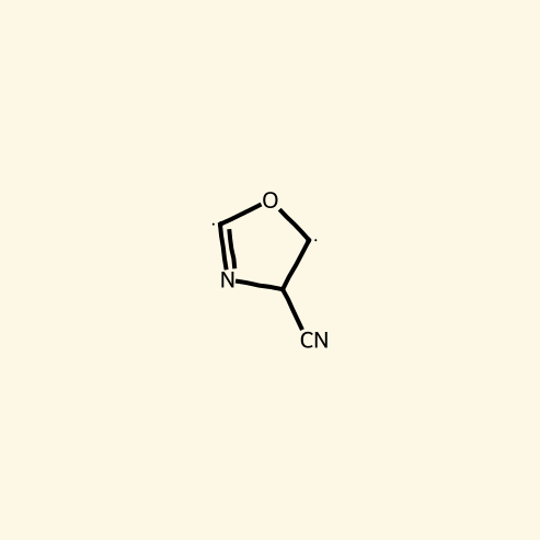 N#CC1[CH]O[C]=N1